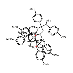 CCCCC(c1ccc(OC)cc1)C(OB(OC(c1ccc(OC)cc1)(c1ccc(OC)cc1)C(CCCC)c1ccc(OC)cc1)OC(c1ccc(OC)cc1)(c1ccc(OC)cc1)C(CCCC)c1ccc(OC)cc1)(c1ccc(OC)cc1)c1ccc(OC)cc1